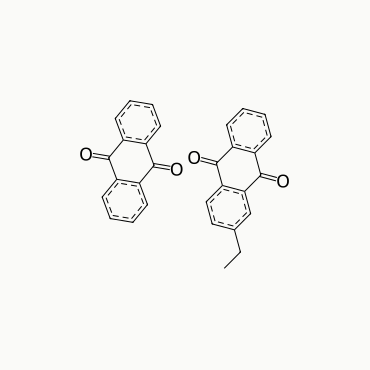 CCc1ccc2c(c1)C(=O)c1ccccc1C2=O.O=C1c2ccccc2C(=O)c2ccccc21